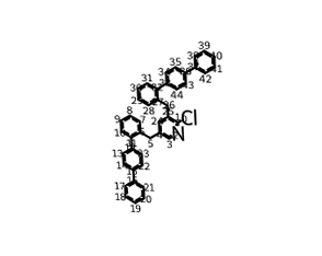 Clc1ncc(Cc2ccccc2-c2ccc(-c3ccccc3)cc2)cc1Cc1ccccc1-c1ccc(-c2ccccc2)cc1